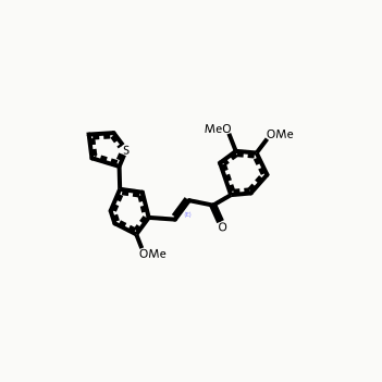 COc1ccc(-c2cccs2)cc1/C=C/C(=O)c1ccc(OC)c(OC)c1